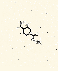 CC1CN(C(=O)OC(C)(C)C)CCC1[C@H](C)N